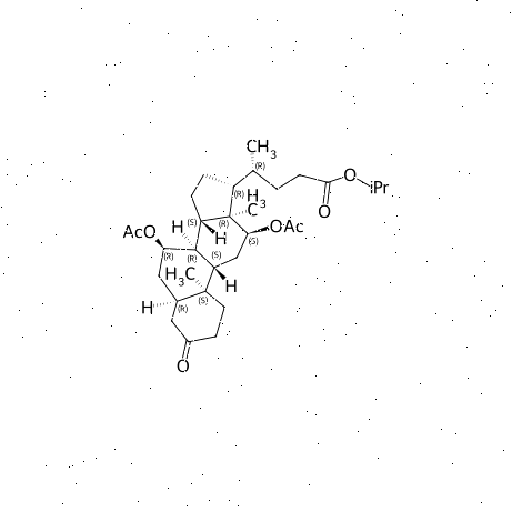 CC(=O)O[C@H]1C[C@H]2[C@@H]([C@H](OC(C)=O)C[C@@H]3CC(=O)CC[C@@]32C)[C@@H]2CC[C@H]([C@H](C)CCC(=O)OC(C)C)[C@@]12C